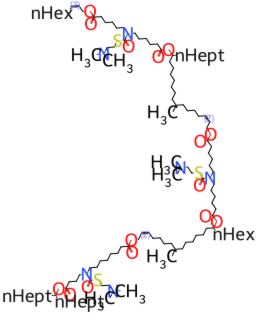 CCCCCC/C=C\COC(=O)CCCCCN(CCCCCC(=O)OC(CCCCCCC)CCCCCCCC(C)CCCC/C=C\COC(=O)CCCCCN(CCCCCC(=O)OC(CCCCCC)CCCCCCC(C)CCCC/C=C\COC(=O)CCCCCCCN(CCCC(=O)OC(CCCCCCC)CCCCCCC)C(=O)SCCN(C)C)C(=O)SCCN(C)C)C(=O)SCCN(C)C